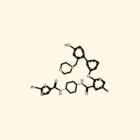 CC(C)c1ncc(C(=O)N[C@H]2CC[C@@H](NC(=O)c3cc(F)cnc3Oc3cccc(-c4ccc(O)cc4CN4CCOCC4)c3)CC2)s1